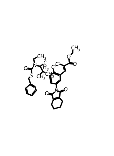 CCN(C(=O)SCc1ccccc1)C(C)C(C)C.CCOC(=O)/C(Cl)=C/c1cc(N2C(=O)C3=C(CCCC3)C2=O)ccc1Cl